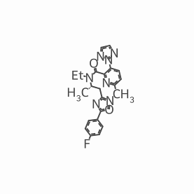 CCN(C(=O)c1nc(C)ccc1-n1nccn1)[C@@H](C)Cc1noc(-c2ccc(F)cc2)n1